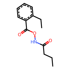 CCCC(=O)NOC(=O)c1ccccc1CC